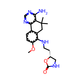 COc1ccc2c(c1NCC[C@@H]1CNC(=O)O1)CC(C)(C)c1c(N)ncnc1-2